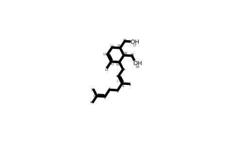 CC(C)=CCC/C(C)=C/CC1C(C)=CCC(CO)C1CO